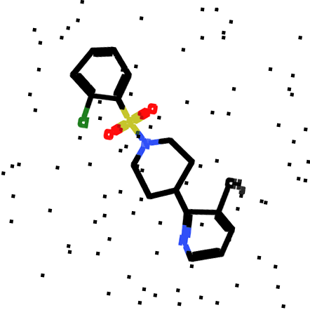 Cc1cccnc1C1CCN(S(=O)(=O)c2ccccc2Cl)CC1